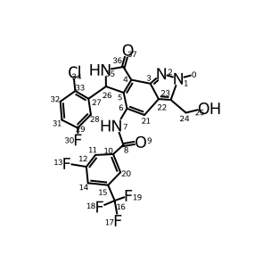 Cn1nc2c3c(c(NC(=O)c4cc(F)cc(C(F)(F)F)c4)cc2c1CO)C(c1cc(F)ccc1Cl)NC3=O